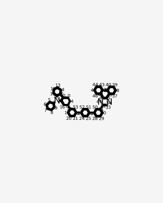 C1=c2c(n(-c3ccccc3)c3ccccc23)=CC(c2cccc(-c3ccc(-c4cccc(-c5cnc6c7ccccc7c7ccccc7c6n5)c4)cc3)c2)C1